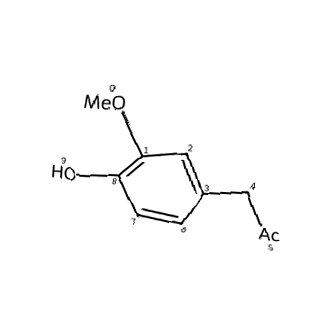 COc1cc(CC(C)=O)ccc1O